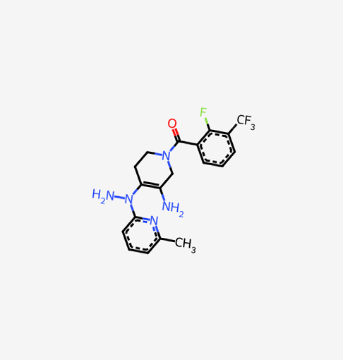 Cc1cccc(N(N)C2=C(N)CN(C(=O)c3cccc(C(F)(F)F)c3F)CC2)n1